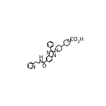 O=C(NCCc1ccccn1)c1ccc2nc(N3CCC(C4CCN(C(=O)O)CC4)CC3)c(-c3ccccc3)nc2c1